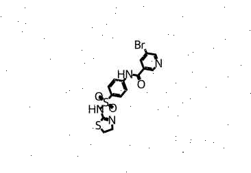 O=C(Nc1ccc(S(=O)(=O)NC2=NCCS2)cc1)c1cncc(Br)c1